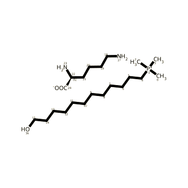 C[P+](C)(C)CCCCCCCCCCCCO.NCCCC[C@H](N)C(=O)[O-]